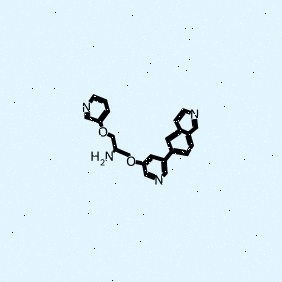 N[C@@H](COc1cccnc1)COc1cncc(-c2ccc3cnccc3c2)c1